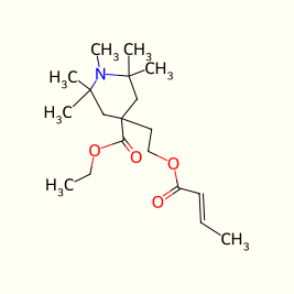 C/C=C/C(=O)OCCC1(C(=O)OCC)CC(C)(C)N(C)C(C)(C)C1